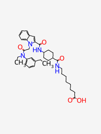 CCc1cccc(N(CC)C(=O)Cn2c(C(=O)NC3CCC(C(=O)NCCCCCCCC(=O)O)CC3)cc3ccccc32)c1